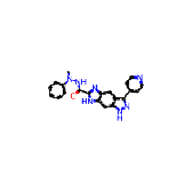 CN(NC(=O)c1nc2cc3c(-c4ccncc4)n[nH]c3cc2[nH]1)c1ccccc1